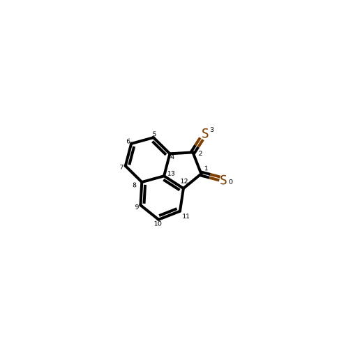 S=C1C(=S)c2cccc3cccc1c23